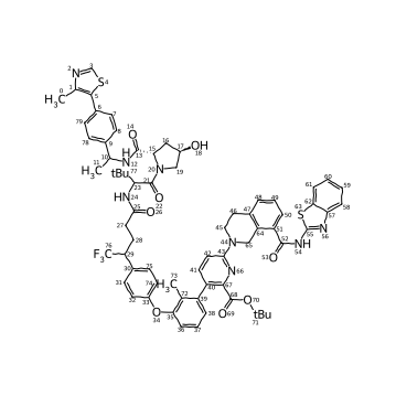 Cc1ncsc1-c1ccc(C(C)NC(=O)[C@@H]2C[C@@H](O)CN2C(=O)C(NC(=O)CCC(c2ccc(Oc3cccc(-c4ccc(N5CCc6cccc(C(=O)Nc7nc8ccccc8s7)c6C5)nc4C(=O)OC(C)(C)C)c3C)cc2)C(F)(F)F)C(C)(C)C)cc1